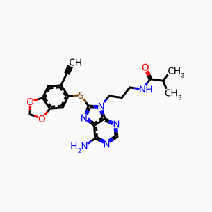 C#Cc1cc2c(cc1Sc1nc3c(N)ncnc3n1CCCNC(=O)C(C)C)OCO2